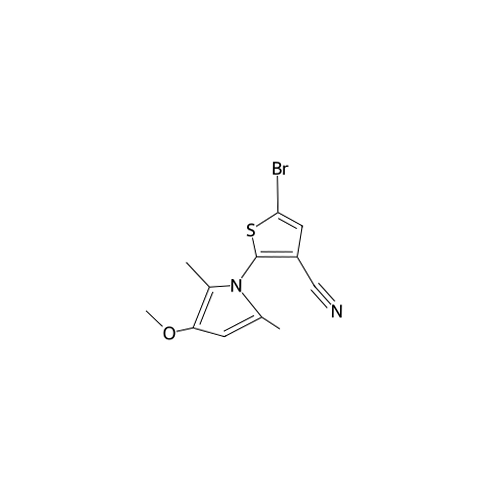 COc1cc(C)n(-c2sc(Br)cc2C#N)c1C